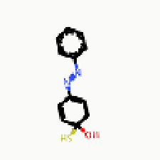 OC1(S)C=CC(N=Nc2ccccc2)=CC1